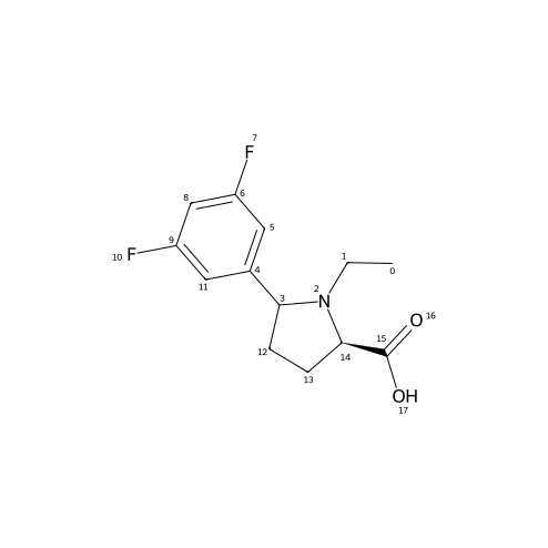 CCN1C(c2cc(F)cc(F)c2)CC[C@@H]1C(=O)O